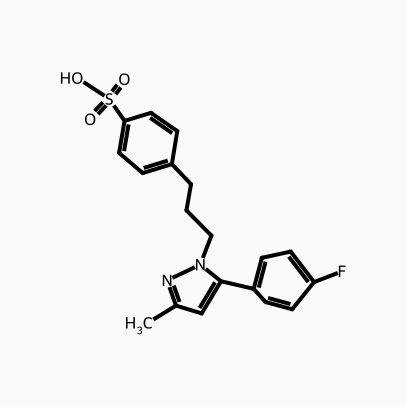 Cc1cc(-c2ccc(F)cc2)n(CCCc2ccc(S(=O)(=O)O)cc2)n1